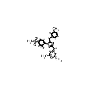 Cc1cccc(Cc2nc(CN3C[C@@H](C)O[C@@H](C)C3)nn2-c2ccc(S(N)(=O)=O)cc2F)c1